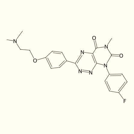 CN(C)CCOc1ccc(-c2nnc3c(n2)c(=O)n(C)c(=O)n3-c2ccc(F)cc2)cc1